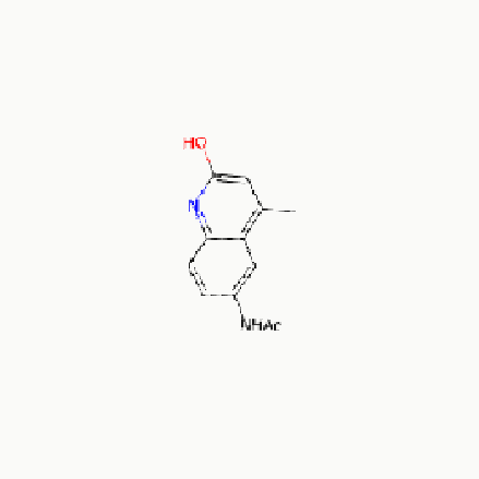 CC(=O)Nc1ccc2nc(O)cc(C)c2c1